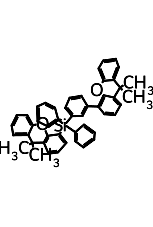 CC1(C)c2ccccc2Oc2c(-c3cccc([Si](c4ccccc4)(c4ccccc4)c4cccc5c4Oc4ccccc4C5(C)C)c3)cccc21